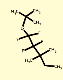 CCC(C)(C)C(F)(F)C(F)(F)OC(C)(C)C